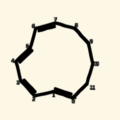 [C]1=C/C=C\C=C\C=C/CCCC/1